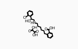 O=C(O)C(=O)O.O=C(O)c1ccccc1CCCCCCNCC(O)c1ccccc1Cl